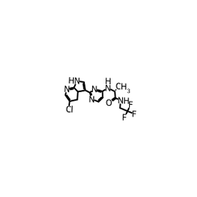 C[C@@H](Nc1ccnc(C2=CNC3=NC=C(Cl)CC23)n1)C(=O)NCC(F)(F)F